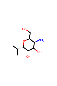 CC(C)[C@@H]1OC(CO)[C@@H](N)C(O)[C@@H]1O